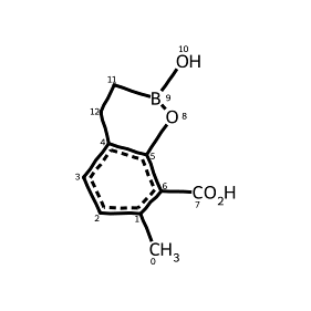 Cc1ccc2c(c1C(=O)O)OB(O)CC2